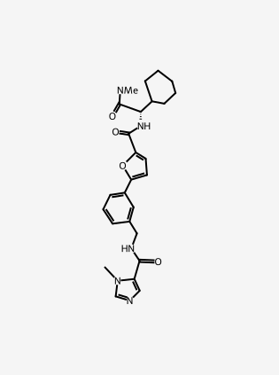 CNC(=O)[C@@H](NC(=O)c1ccc(-c2cccc(CNC(=O)c3cncn3C)c2)o1)C1CCCCC1